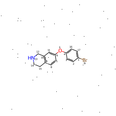 Brc1ccc(Oc2ccc3c(c2)CNCC3)cc1